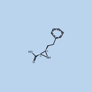 O=C(O)[C@@H]1N[C@@H]1CCc1ccccc1